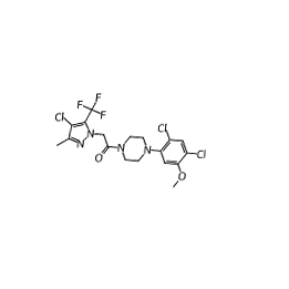 COc1cc(N2CCN(C(=O)Cn3nc(C)c(Cl)c3C(F)(F)F)CC2)c(Cl)cc1Cl